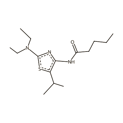 CCCCC(=O)Nc1nc(N(CC)CC)sc1C(C)C